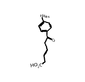 CCCCCCc1ccc(C(=O)CCCCC(=O)O)cc1